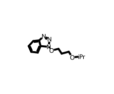 CC(C)OCCCOn1nnc2ccccc21